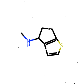 CNC1CCc2sccc21